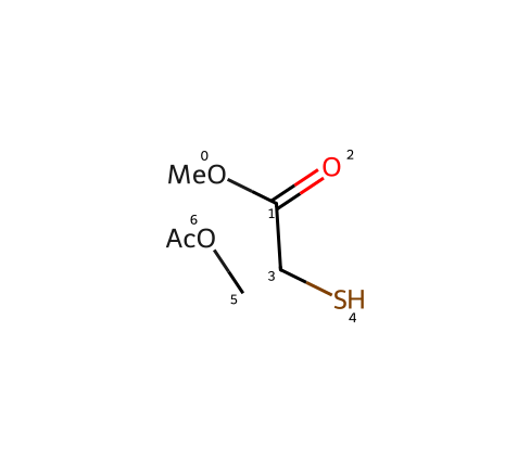 COC(=O)CS.COC(C)=O